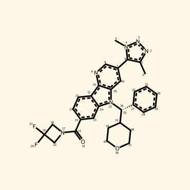 Cc1nnn(C)c1-c1cnc2c3ccc(C(=O)N4CC(F)(F)C4)cc3n([C@H](c3ccccc3)C3CCOCC3)c2c1